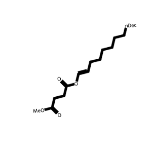 CCCCCCCCCCCCCCCCC=COC(=O)CCC(=O)OC